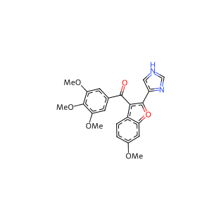 COc1ccc2c(C(=O)c3cc(OC)c(OC)c(OC)c3)c(-c3c[nH]cn3)oc2c1